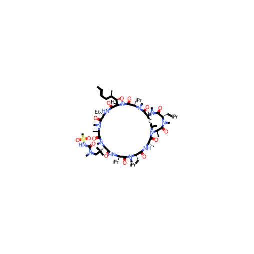 C/C=C/C[C@@H](C)[C@H]1ON2C(=O)[C@H](C(C)C)N(C)C(=O)[C@@H]3CC(C)N(C(=O)[C@H](C)NC(=O)[C@H](CC(C)C)N(C)C(=O)[C@H](C(C)C)NC(=O)[C@H](C(C)(C)CN(C)C(=O)NS(C)(=O)=O)N(C)C(=O)[C@@H](C)N(C)C(=O)[C@H](CC)NC(=O)[C@H]12)[C@H](C)C(=O)N(C)[C@@H](CC(C)C)C(=O)N3C